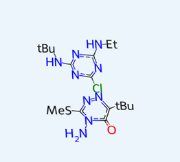 CCNc1nc(Cl)nc(NC(C)(C)C)n1.CSc1nnc(C(C)(C)C)c(=O)n1N